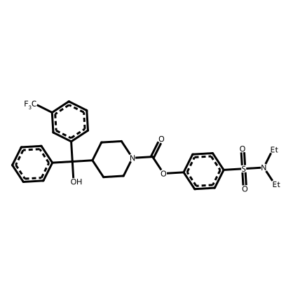 CCN(CC)S(=O)(=O)c1ccc(OC(=O)N2CCC(C(O)(c3ccccc3)c3cccc(C(F)(F)F)c3)CC2)cc1